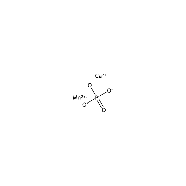 O=P([O-])([O-])[O-].[Ca+2].[Mn+2]